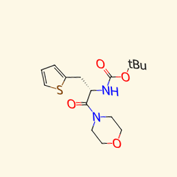 CC(C)(C)OC(=O)N[C@@H](Cc1cccs1)C(=O)N1CCOCC1